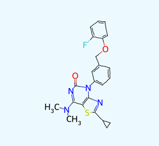 CN(C)c1nc(=O)n(-c2cccc(COc3ccccc3F)c2)c2nc(C3CC3)sc12